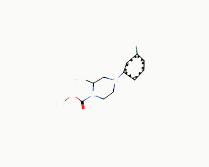 CC1CN(c2cccc(Cl)c2)CCN1C(=O)OC(C)(C)C